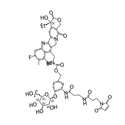 CC[C@@]1(O)C(=O)OCc2c1cc1n(c2=O)Cc2c-1nc1cc(F)c(C)c(Br)c1c2CNC(=O)OCc1ccc(O[C@@H]2O[C@H](C(=O)O)[C@@H](O)[C@H](O)[C@H]2O)c(NC(=O)CCNC(=O)CCN2C(=O)C=CC2=O)c1